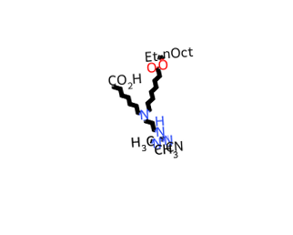 CCCCCCCCC(CC)OC(=O)CCCCCCCN(CCCCCCCC(=O)O)CCCN/C(=N/C#N)N(C)C